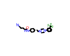 N#CCCCC(=O)N[C@H]1CC[C@H](CCN2CCN(c3cccc(C(F)(F)F)c3)CC2)CC1